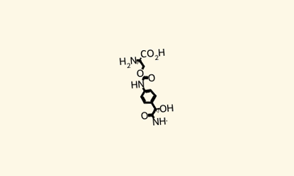 [NH]C(=O)[C@H](O)c1ccc(NC(=O)OC[C@@H](N)C(=O)O)cc1